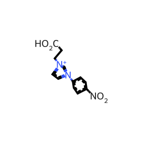 O=C(O)CC[n+]1ccn(-c2ccc([N+](=O)[O-])cc2)c1